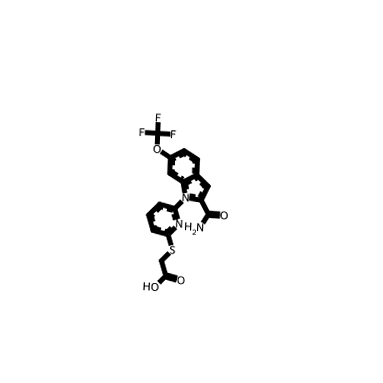 NC(=O)c1cc2ccc(OC(F)(F)F)cc2n1-c1cccc(SCC(=O)O)n1